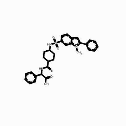 Cn1c(-c2ccccc2)cc2ccc(S(=O)(=O)NC3CCC(C(=O)NC(C(=O)O)c4ccccc4)CC3)cc21